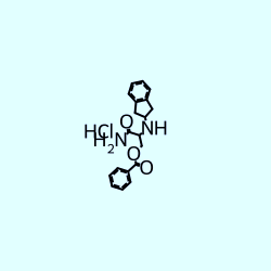 Cl.NC(=O)C(COC(=O)c1ccccc1)NC1Cc2ccccc2C1